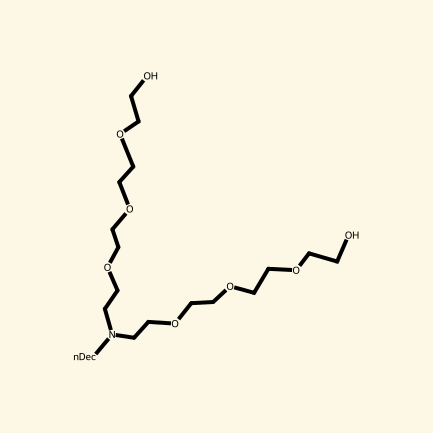 CCCCCCCCCCN(CCOCCOCCOCCO)CCOCCOCCOCCO